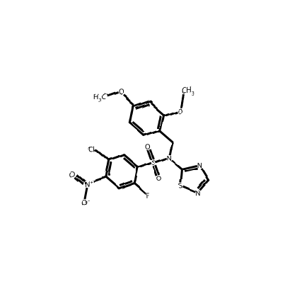 COc1ccc(CN(c2ncns2)S(=O)(=O)c2cc(Cl)c([N+](=O)[O-])cc2F)c(OC)c1